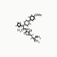 COc1ccc(N2CCN(C(c3cccs3)C(C)NC(=O)C(=O)NCCN(C)N)CC2)cc1